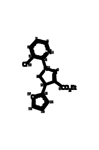 CCOC(=O)C1=NN(c2ncccc2Cl)CC1c1ccco1